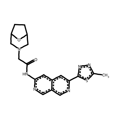 Cc1nnc(-c2cc3cc(NC(=O)CN4CC5CCC(C4)O5)ncc3cn2)s1